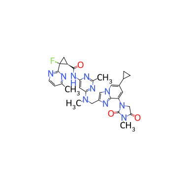 Cc1ccnc([C@]2(F)C[C@H]2C(=O)Nc2cc(N(C)Cc3cn4cc(C5CC5)cc(N5CC(=O)N(C)C5=O)c4n3)nc(C)n2)n1